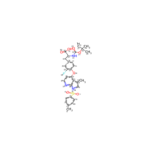 Cc1ccc(S(=O)(=O)n2cc(C)c3c(Oc4ccc(CC(NC(=O)OC(C)(C)C)C(=O)O)cc4F)ccnc32)cc1